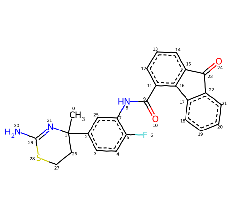 CC1(c2ccc(F)c(NC(=O)c3cccc4c3-c3ccccc3C4=O)c2)CCSC(N)=N1